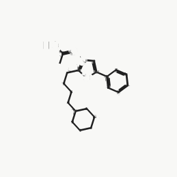 O=C(O)C[C@@H](CCCC1CCCCC1)c1ncc(-c2ccccc2)o1